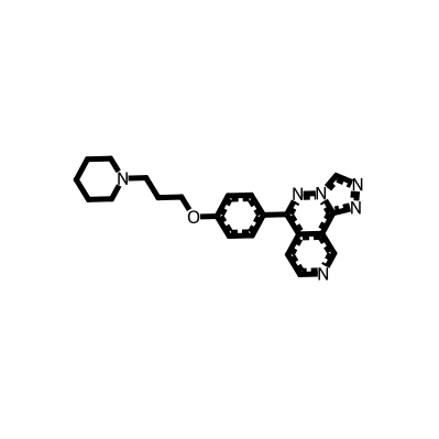 c1cc2c(-c3ccc(OCCCN4CCCCC4)cc3)nn3cnnc3c2cn1